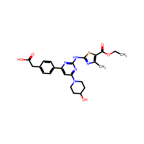 CCOC(=O)c1sc(Nc2nc(-c3ccc(CC(=O)O)cc3)cc(N3CCC(O)CC3)n2)nc1C